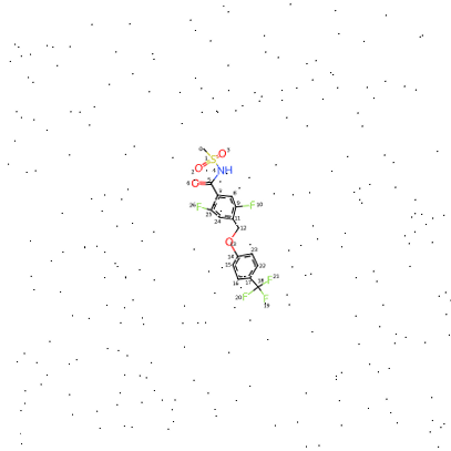 CS(=O)(=O)NC(=O)c1cc(F)c(COc2ccc(C(F)(F)F)cc2)cc1F